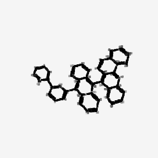 c1ccc(-c2cccc(-c3c4ccccc4c(-c4c5ccccc5nc5c4ccc4cccnc45)c4ccccc34)n2)nc1